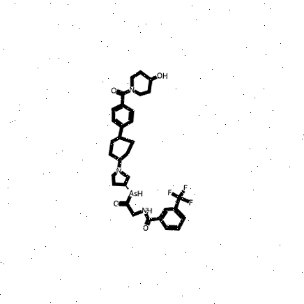 O=C(CNC(=O)c1cccc(C(F)(F)F)c1)[AsH][C@@H]1CCN(C2CCC(c3ccc(C(=O)N4CCC(O)CC4)cc3)CC2)C1